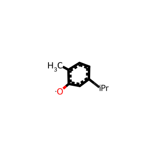 Cc1ccc(C(C)C)cc1[O]